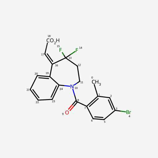 Cc1cc(Br)ccc1C(=O)N1CCC(F)(F)C(=CC(=O)O)c2ccccc21